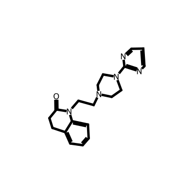 O=C1CCc2ccccc2N1CCN1CCN(c2ncccn2)CC1